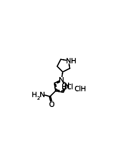 Cl.Cl.NC(=O)c1cnn(C2CCNC2)c1